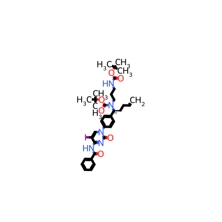 C=CCC[C@@H](c1ccc(-n2cc(I)c(NC(=O)c3ccccc3)nc2=O)cc1)N(CCCNC(=O)OC(C)(C)C)C(=O)OC(C)(C)C